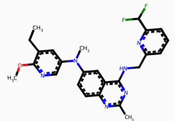 CCc1cc(N(C)c2ccc3nc(C)nc(NCc4cccc(C(F)F)n4)c3c2)cnc1OC